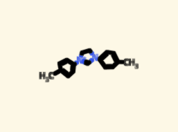 Cc1ccc(N2C=[N+](c3ccc(C)cc3)CC2)cc1